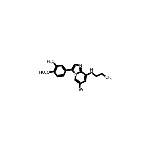 Cc1cc(-c2cnc3c(NCCC(F)(F)F)cc(C(C)C)cn23)ccc1C(=O)O